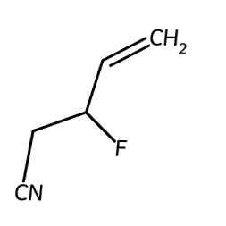 C=CC(F)CC#N